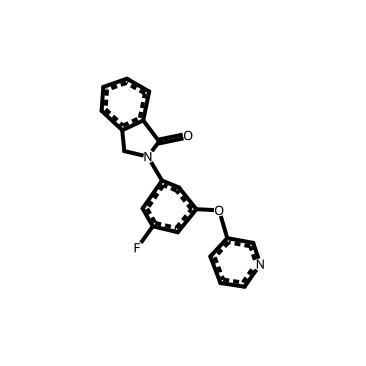 O=C1c2ccccc2CN1c1cc(F)cc(Oc2cccnc2)c1